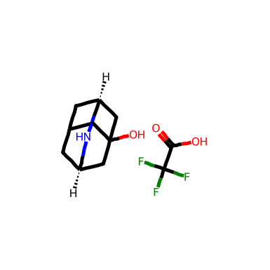 O=C(O)C(F)(F)F.OC12CC3C[C@H](C1)N[C@@H](C3)C2